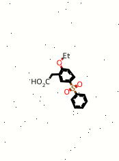 CCOc1ccc(S(=O)(=O)c2ccccc2)cc1CC(=O)O